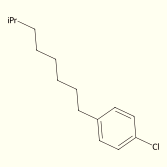 CC(C)CCCCCCc1ccc(Cl)cc1